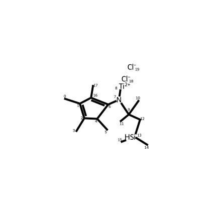 CC1=C(C)C(C)C([N]([Ti+2])C(C)(C)C[SiH](C)C)=C1C.[Cl-].[Cl-]